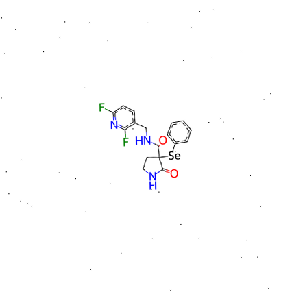 O=C1NCCC1([Se]c1ccccc1)C(=O)NCc1ccc(F)nc1F